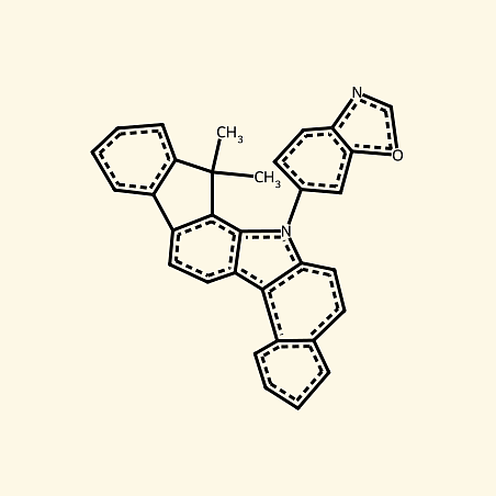 CC1(C)c2ccccc2-c2ccc3c4c5ccccc5ccc4n(-c4ccc5ncoc5c4)c3c21